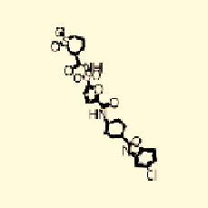 O=C(NC1CCC(c2nc3cc(Cl)ccc3o2)CC1)c1ccc(S(=O)(=O)NC(=O)C2CCCS(=O)(=O)C2)o1